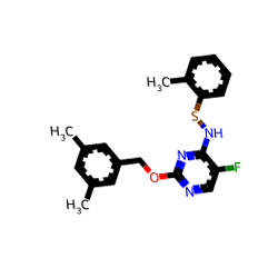 Cc1cc(C)cc(COc2ncc(F)c(NSc3ccccc3C)n2)c1